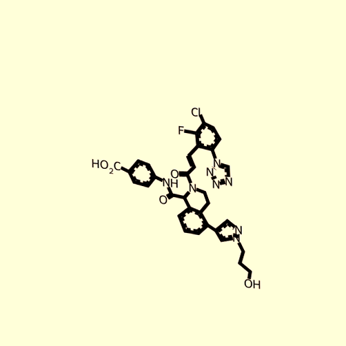 O=C(O)c1ccc(NC(=O)C2c3cccc(-c4cnn(CCCO)c4)c3CCN2C(=O)C=Cc2c(-n3cnnn3)ccc(Cl)c2F)cc1